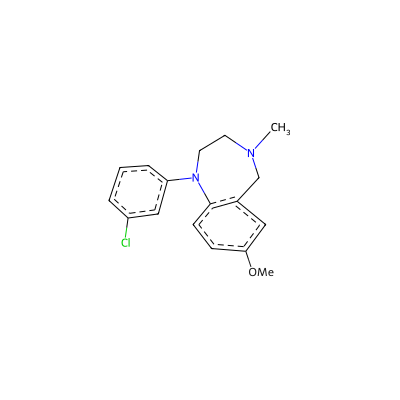 COc1ccc2c(c1)CN(C)CCN2c1cccc(Cl)c1